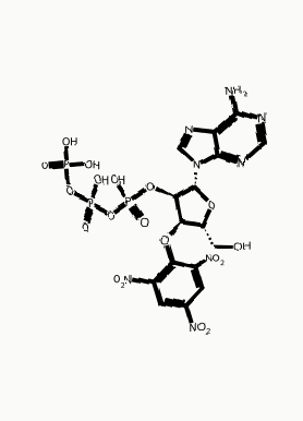 Nc1ncnc2c1ncn2[C@@H]1O[C@H](CO)[C@@H](Oc2c([N+](=O)[O-])cc([N+](=O)[O-])cc2[N+](=O)[O-])[C@H]1OP(=O)(O)OP(=O)(O)OP(=O)(O)O